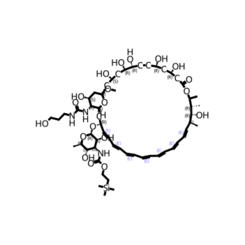 CO[C@]12C[C@@H](O)C[C@@H](O)[C@H](O)CC[C@@H](O)C[C@@H](O)CC(=O)OC(C)[C@H](C)[C@H](O)[C@@H](C)/C=C/C=C/C=C/C=C/C=C/C=C/C=C/[C@H](O[C@@H]3O[C@H](C)[C@@H](O)[C@H](NC(=O)OCC[Si](C)(C)C)[C@@H]3O)C[C@H](O1)[C@H](NC(=O)NCCCO)[C@@H](O)C2